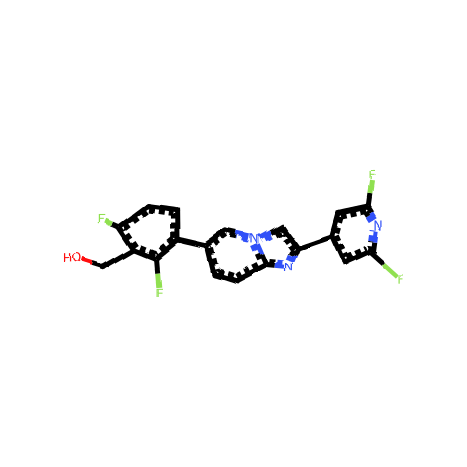 OCc1c(F)ccc(-c2ccc3nc(-c4cc(F)nc(F)c4)cn3c2)c1F